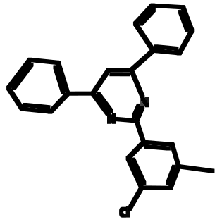 Cc1cc(Cl)cc(-c2nc(-c3ccccc3)cc(-c3ccccc3)n2)c1